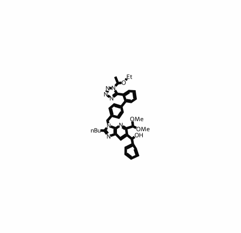 CCCCc1nc2cc(C(O)c3ccccc3)c(C(OC)OC)nc2n1Cc1ccc(-c2ccccc2-c2nnnn2C(C)OCC)cc1